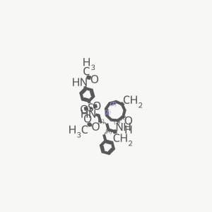 C=C1/C=C\C=C/C[C@H](NC(=C)[C@H](Cc2ccccc2)C[C@@H](CNS(=O)(=O)c2ccc(NC(C)=O)cc2)OC(C)=O)[C@H](O)C1